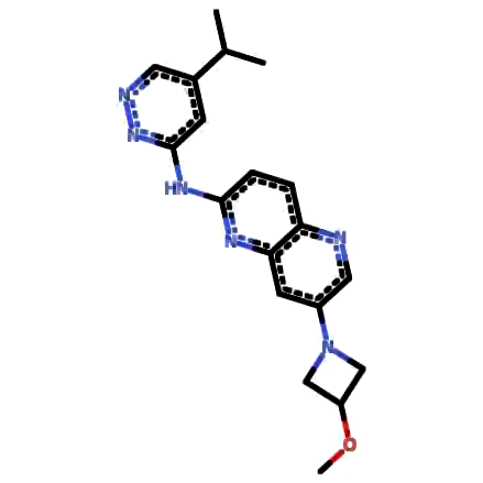 COC1CN(c2cnc3ccc(Nc4cc(C(C)C)cnn4)nc3c2)C1